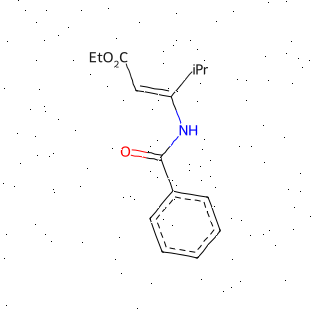 CCOC(=O)C=C(NC(=O)c1ccccc1)C(C)C